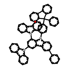 c1ccc(-c2ccc3c(c2)c2cc(-n4c5ccccc5c5ccccc54)cc(-n4c5ccccc5c5ccccc54)c2n3-c2ccc(C3(c4ccccc4)c4ccccc4-c4ccccc43)cc2)cc1